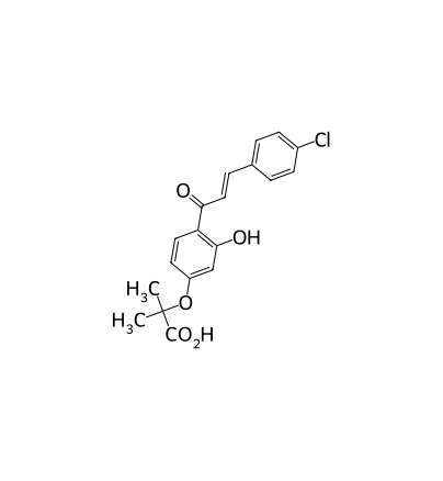 CC(C)(Oc1ccc(C(=O)C=Cc2ccc(Cl)cc2)c(O)c1)C(=O)O